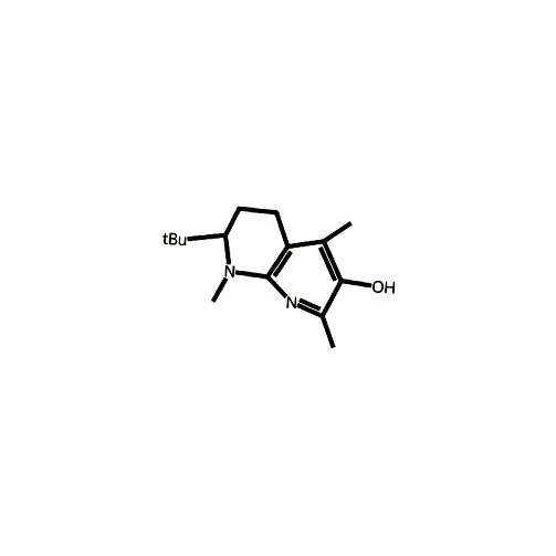 Cc1nc2c(c(C)c1O)CCC(C(C)(C)C)N2C